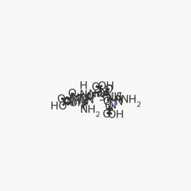 CC(C)(O/N=C(\C(=O)N[C@@H]1C(=O)N2C(C(=O)O)=C(CN3C=C(NCCNC(=O)c4cc(=O)c(O)cn4O)C(NCCN)=NC3)CSC12)c1csc(N)n1)C(=O)O